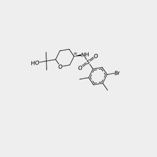 Cc1cc(C)c(S(=O)(=O)N[C@@H]2CCC(C(C)(C)O)OC2)cc1Br